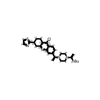 C=C(CCCC)N1CCN(C(=C)c2ccc3c(Cl)c4c(nc3c2)CC(c2nccs2)CC4)CC1